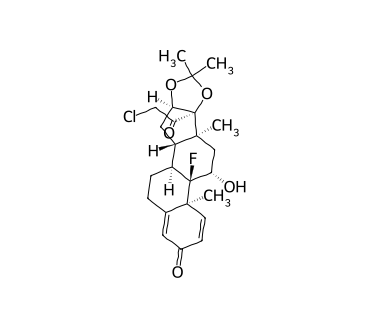 CC1(C)O[C@@H]2C[C@H]3[C@@H]4CCC5=CC(=O)C=C[C@]5(C)[C@@]4(F)[C@@H](O)C[C@]3(C)[C@]2(C(=O)CCl)O1